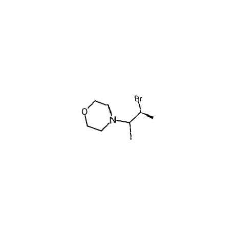 CC([C@H](C)Br)N1CCOCC1